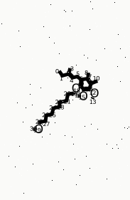 CC/C(C)=C/Cc1c(C)c(C)c(OC)c(OC)c1OCCCCCCCCCCOC